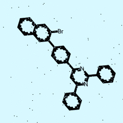 Brc1cc2ccccc2cc1-c1ccc(-c2cc(-c3ccccc3)nc(-c3ccccc3)n2)cc1